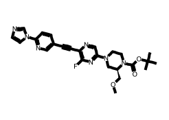 COC[C@H]1CN(c2cnc(C#Cc3ccc(-n4ccnc4)nc3)c(F)n2)CCN1C(=O)OC(C)(C)C